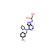 OCC(O)Cn1ncc2c(N(Cc3cccc(C(F)(F)F)c3)C3CCCC3)ncnc21